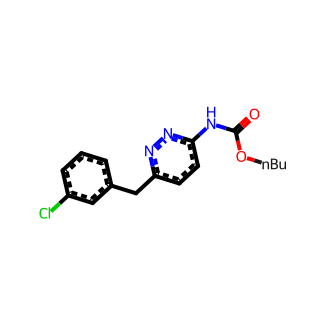 CCCCOC(=O)Nc1ccc(Cc2cccc(Cl)c2)nn1